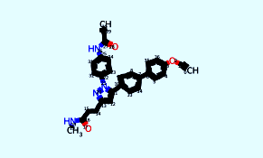 C#COc1ccc(-c2ccc(-c3cc(CCC(=O)NC)nn3-c3ccc(NC(=O)C#C)cc3)cc2)cc1